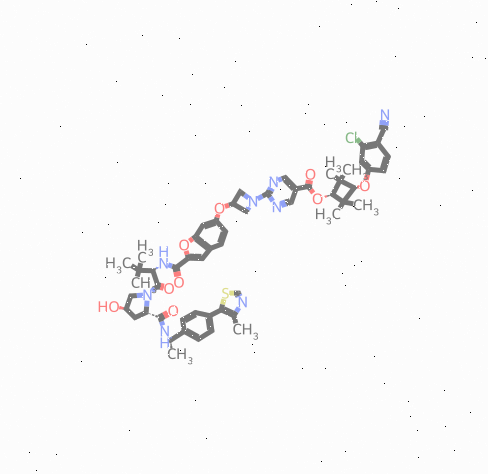 Cc1ncsc1-c1ccc([C@H](C)NC(=O)[C@@H]2C[C@@H](O)CN2C(=O)[C@@H](NC(=O)c2cc3ccc(OC4CN(c5ncc(C(=O)O[C@H]6C(C)(C)[C@H](Oc7ccc(C#N)c(Cl)c7)C6(C)C)cn5)C4)cc3o2)C(C)(C)C)cc1